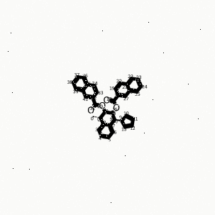 C[C@H]1c2ccccc2[C@H](C2C=CC=C2)C(OC(=O)c2ccc3ccccc3c2)C1OC(=O)c1ccc2ccccc2c1